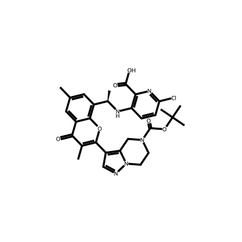 Cc1cc([C@@H](C)Nc2ccc(Cl)nc2C(=O)O)c2oc(-c3cnn4c3CN(C(=O)OC(C)(C)C)CC4)c(C)c(=O)c2c1